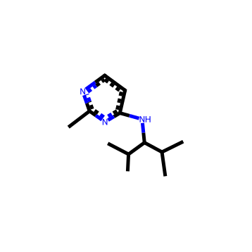 Cc1nccc(NC(C(C)C)C(C)C)n1